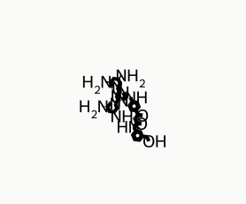 N[C@@H]1C[C@H](N)CN(c2nc(Nc3ccc(C(=O)CC(=O)Nc4cccc(CO)c4)cc3)nc(N3C[C@H](N)C[C@H](N)C3)n2)C1